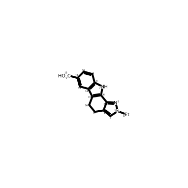 CCn1cc2c(n1)-c1[nH]c3ccc(C(=O)O)cc3c1CC2